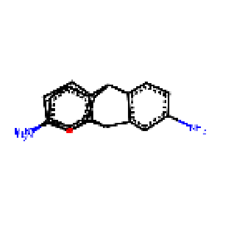 Nc1ccc2c(c1)C1c3cc(N)ccc3C2c2ccc(N)cc21